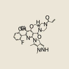 C=CC(=O)N1CCN2C(=O)c3c(N4CC5=CNN(C)C5=C4C)nc(-c4c(O)cccc4F)c(Cl)c3OC[C@H]2C1